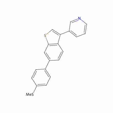 CSc1ccc(-c2ccc3c(-c4cccnc4)csc3c2)cc1